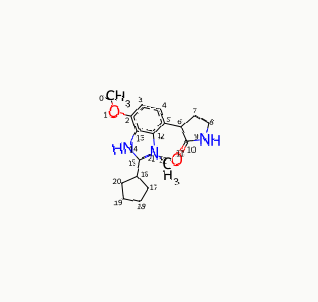 COc1ccc(C2CCNC2=O)c2c1NC(C1CCCC1)N2C